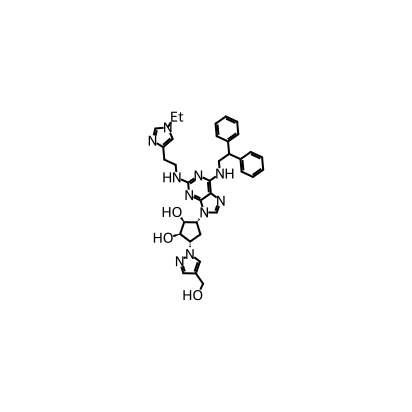 CCn1cnc(CCNc2nc(NCC(c3ccccc3)c3ccccc3)c3ncn([C@@H]4C[C@H](n5cc(CO)cn5)[C@@H](O)[C@H]4O)c3n2)c1